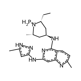 CC[C@@H]1C[C@@H](Nc2nc(Nc3cc(C)[nH]n3)cc3nc(C)ccc23)C[C@H](C)N1P